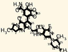 CC1Cc2nc3c(c(-c4cc(C(N)=O)c(O)c5c4OCO5)cn3CC(=O)Nc3cc(N4CCN(C)C[C@@H]4C)nc(F)c3Cl)c(=O)n2C1